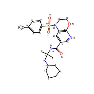 CC(C)(CN1CCCCC1)NC(=O)c1cnc2c(c1)N(S(=O)(=O)c1ccc(C(F)(F)F)cc1)CCO2